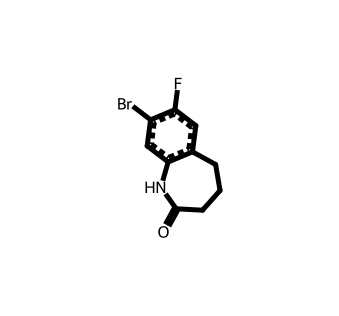 O=C1CCCc2cc(F)c(Br)cc2N1